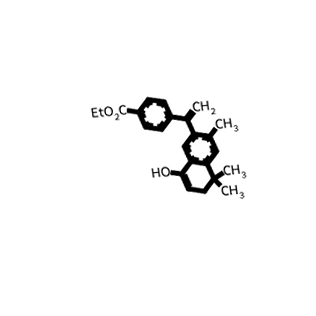 C=C(c1ccc(C(=O)OCC)cc1)c1cc2c(cc1C)C(C)(C)CC=C2O